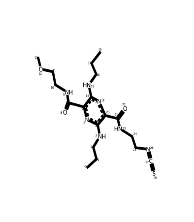 CCCNc1nc(C(=O)NCCOC)c(NCCC)nc1C(=O)NCCN=C=S